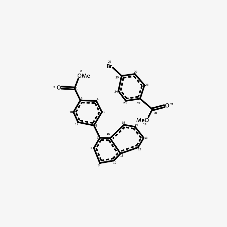 COC(=O)c1ccc(-c2cccc3ccccc23)cc1.COC(=O)c1ccc(Br)cc1